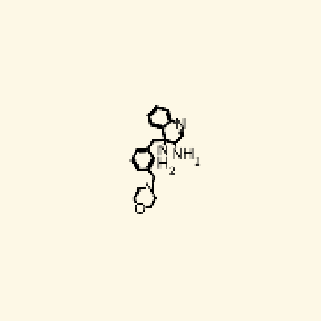 NC1C=Nc2ccccc2C1(N)Cc1cccc(CN2CCOCC2)c1